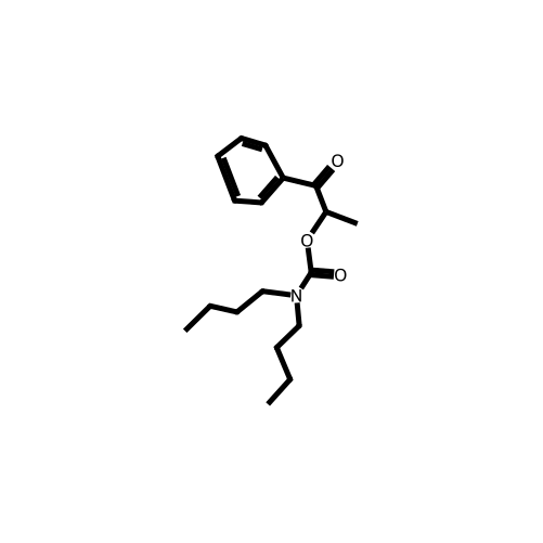 CCCCN(CCCC)C(=O)OC(C)C(=O)c1ccccc1